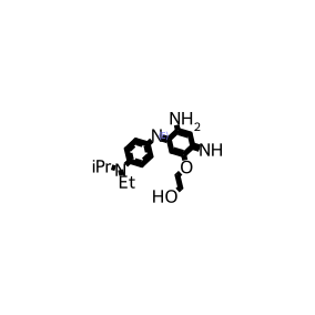 CCN(c1ccc(/N=C2\C=C(OCCO)C(=N)C=C2N)cc1)C(C)C